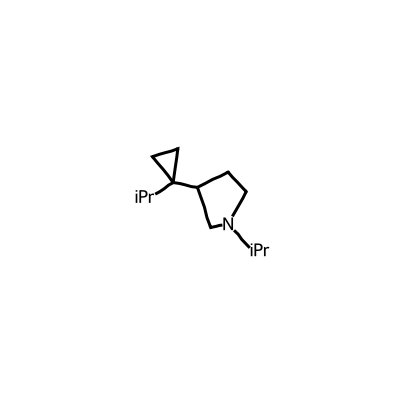 CC(C)N1CCC(C2(C(C)C)CC2)C1